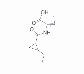 C/C=C(/NC(=O)C1CC1CC)C(=O)O